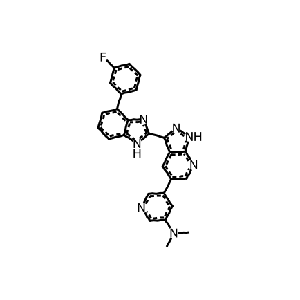 CN(C)c1cncc(-c2cnc3[nH]nc(-c4nc5c(-c6cccc(F)c6)cccc5[nH]4)c3c2)c1